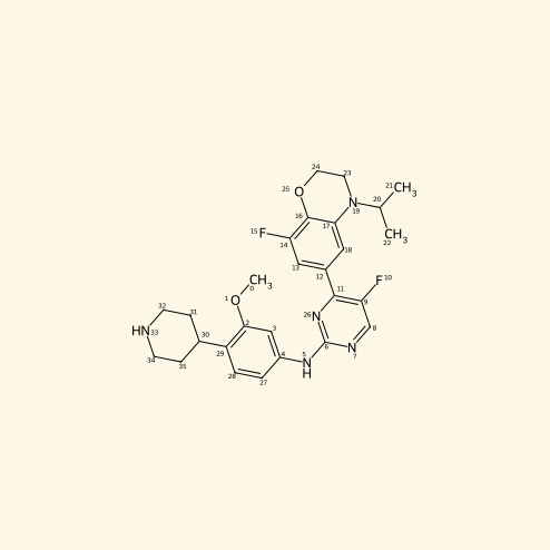 COc1cc(Nc2ncc(F)c(-c3cc(F)c4c(c3)N(C(C)C)CCO4)n2)ccc1C1CCNCC1